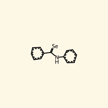 [Se]=C(Nc1ccccc1)c1ccccc1